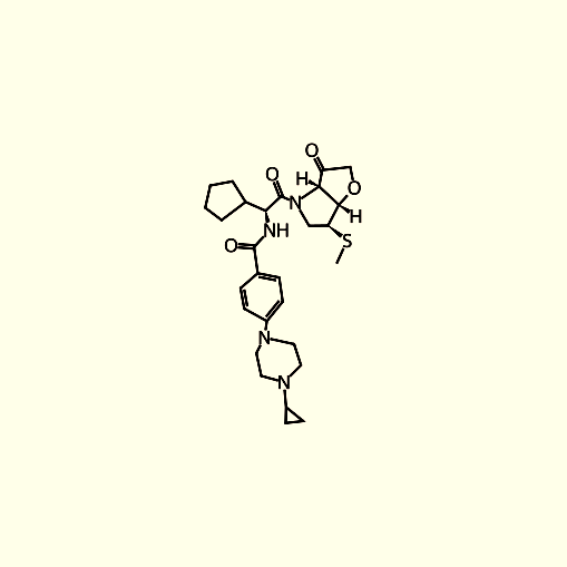 CS[C@H]1CN(C(=O)[C@@H](NC(=O)c2ccc(N3CCN(C4CC4)CC3)cc2)C2CCCC2)[C@@H]2C(=O)CO[C@H]12